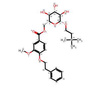 COc1cc(C(=O)OC[C@H]2O[C@@H](OCC[Si](C)(C)C)[C@H](O)[C@@H](O)[C@@H]2O)ccc1OCCc1ccccc1